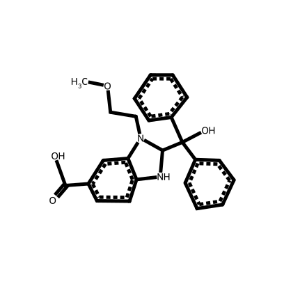 COCCN1c2cc(C(=O)O)ccc2NC1C(O)(c1ccccc1)c1ccccc1